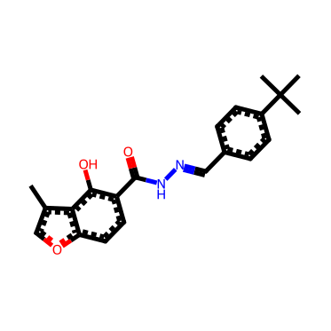 Cc1coc2ccc(C(=O)N/N=C/c3ccc(C(C)(C)C)cc3)c(O)c12